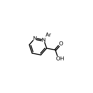 O=C(O)c1cccnn1.[Ar]